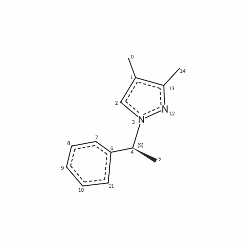 Cc1cn([C@@H](C)c2ccccc2)nc1C